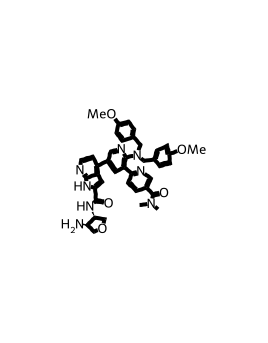 COc1ccc(CN(Cc2ccc(OC)cc2)c2ncc(-c3ccnc4[nH]c(C(=O)N[C@@H]5COC[C@@H]5N)cc34)cc2-c2ccc(C(=O)N(C)C)cn2)cc1